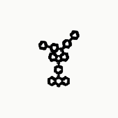 c1ccc(-c2ccc(N(c3ccc(-c4ccccc4)cc3)c3cccc4c3c3ccccc3n4-c3ccc(N4c5ccccc5Oc5ccccc54)cc3)cc2)cc1